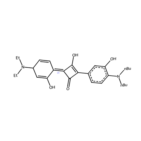 CCCCN(CCCC)c1ccc(C2=C(O)/C(=C3\C=CC(N(CC)CC)C=C3O)C2=O)cc1O